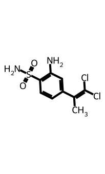 CC(=C(Cl)Cl)c1ccc(S(N)(=O)=O)c(N)c1